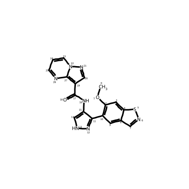 COc1cc2sncc2cc1-c1n[nH]cc1NC(=O)c1cnn2cccnc12